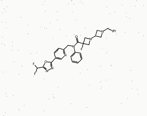 CC(C)CN1CC(N2CC(F)(C(=O)N(Cc3ccc(-c4nnc(C(F)F)o4)cn3)c3ccccc3)C2)C1